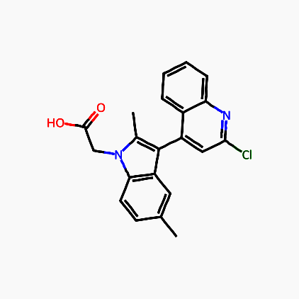 Cc1ccc2c(c1)c(-c1cc(Cl)nc3ccccc13)c(C)n2CC(=O)O